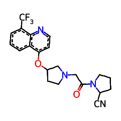 N#CC1CCCN1C(=O)CN1CCC(Oc2ccnc3c(C(F)(F)F)cccc23)C1